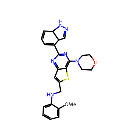 COc1ccccc1NCc1cc2nc(C3=CC=CC4NN=CC34)nc(N3CCOCC3)c2s1